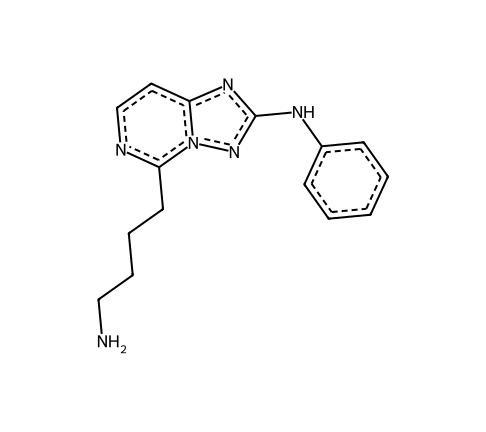 NCCCCc1nccc2nc(Nc3ccccc3)nn12